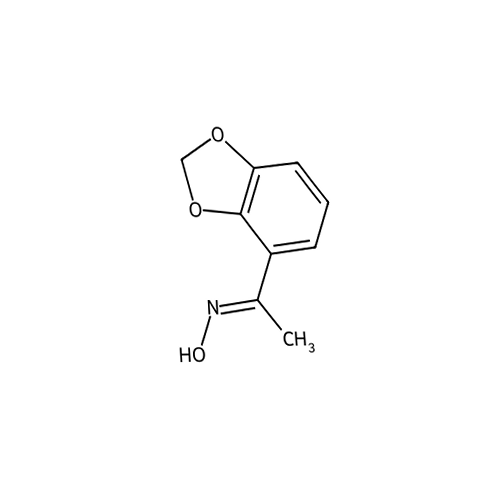 CC(=NO)c1cccc2c1OCO2